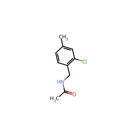 CC(=O)NCc1c[c]c(C)cc1Cl